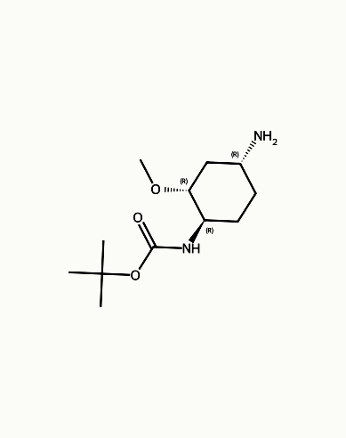 CO[C@@H]1C[C@H](N)CC[C@H]1NC(=O)OC(C)(C)C